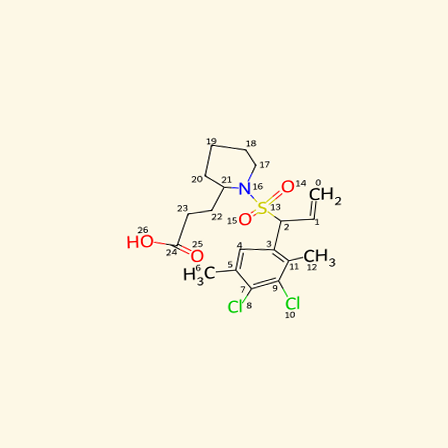 C=CC(c1cc(C)c(Cl)c(Cl)c1C)S(=O)(=O)N1CCCCC1CCC(=O)O